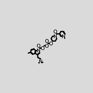 Cc1ccc2c(c1)c(CCN(C)C)cn2C(=O)OCOC(=O)OC1CCN(C(=O)C2=CN(C)C=CC2)CC1